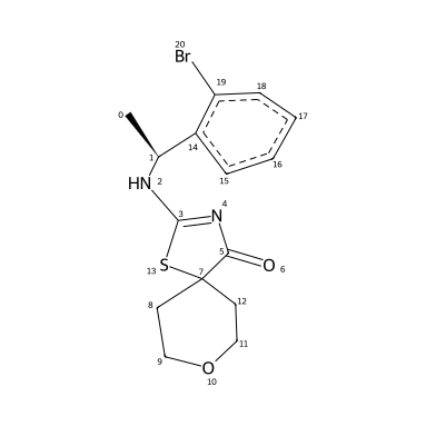 C[C@H](NC1=NC(=O)C2(CCOCC2)S1)c1ccccc1Br